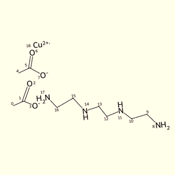 CC(=O)[O-].CC(=O)[O-].NCCNCCNCCN.[Cu+2]